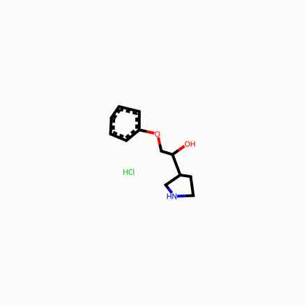 Cl.OC(COc1ccccc1)C1CCNC1